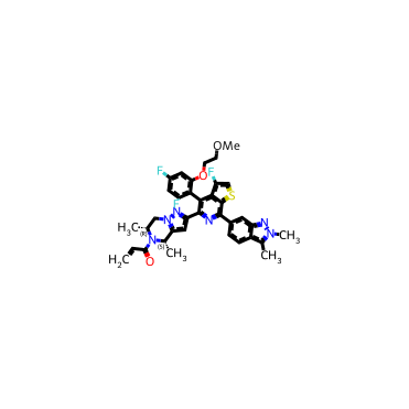 C=CC(=O)N1[C@H](C)Cn2nc(-c3nc(-c4ccc5c(C)n(C)nc5c4)c4scc(F)c4c3-c3c(F)cc(F)cc3OCCOC)cc2[C@@H]1C